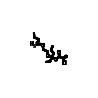 C=C(Cl)C(=O)OC(CC)(CCC)OCCO[SiH2]CCC